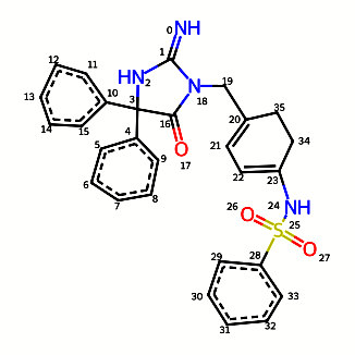 N=C1NC(c2ccccc2)(c2ccccc2)C(=O)N1CC1=CC=C(NS(=O)(=O)c2ccccc2)CC1